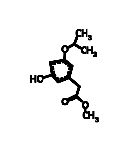 COC(=O)Cc1cc(O)cc(OC(C)C)c1